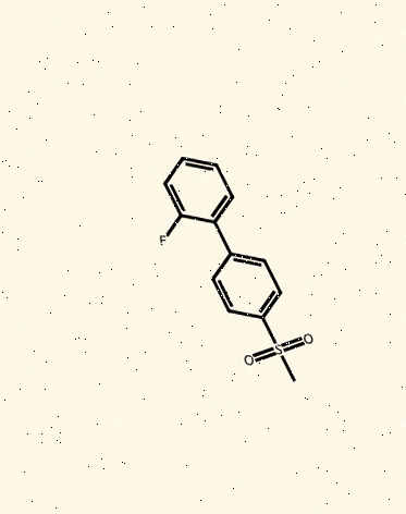 CS(=O)(=O)c1ccc(-c2ccccc2F)cc1